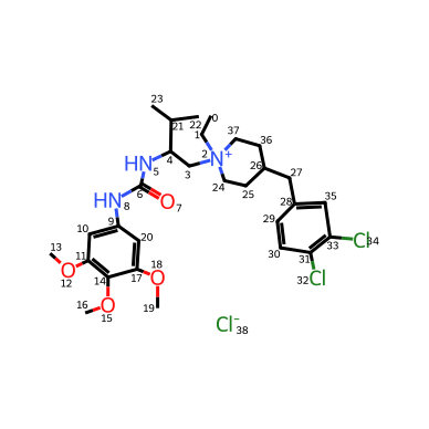 CC[N+]1(CC(NC(=O)Nc2cc(OC)c(OC)c(OC)c2)C(C)C)CCC(Cc2ccc(Cl)c(Cl)c2)CC1.[Cl-]